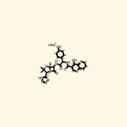 CC1(C)S[C@@H]2C(NC(=O)C(NC(=O)c3cnc4cccnc4c3O)c3ccc(O)cc3)C(=O)N2C1c1nnn[nH]1.[NaH]